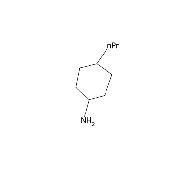 [CH2]CCC1CCC(N)CC1